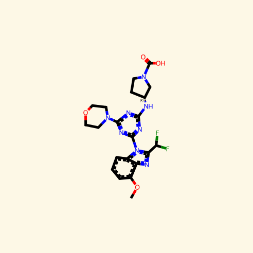 COc1cccc2c1nc(C(F)F)n2-c1nc(N[C@@H]2CCN(C(=O)O)C2)nc(N2CCOCC2)n1